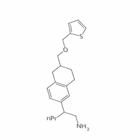 CCCC(CN)c1ccc2c(c1)CCC(COCc1cccs1)C2